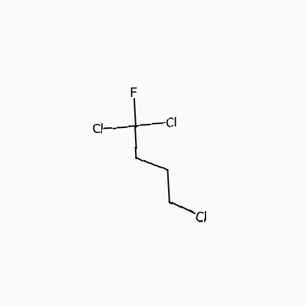 FC(Cl)(Cl)CCCCl